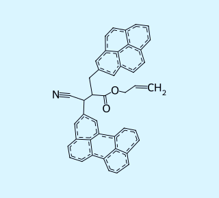 C=CCOC(=O)C(Cc1cc2ccc3cccc4ccc(c1)c2c34)C(C#N)c1cc2cccc3c4cccc5cccc(c(c1)c23)c54